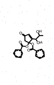 CC(O)C(O)C1=CC(=O)CC1(OC(=O)c1ccccc1)OC(=O)c1ccccc1